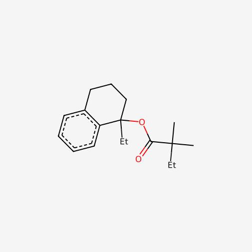 CCC(C)(C)C(=O)OC1(CC)CCCc2ccccc21